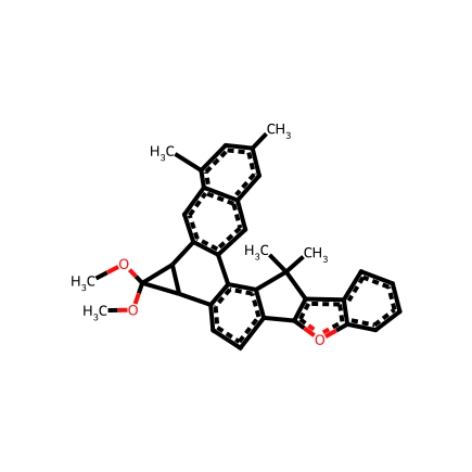 COC1(OC)C2c3cc4c(C)cc(C)cc4cc3-c3c(ccc4c3C(C)(C)c3c-4oc4ccccc34)C21